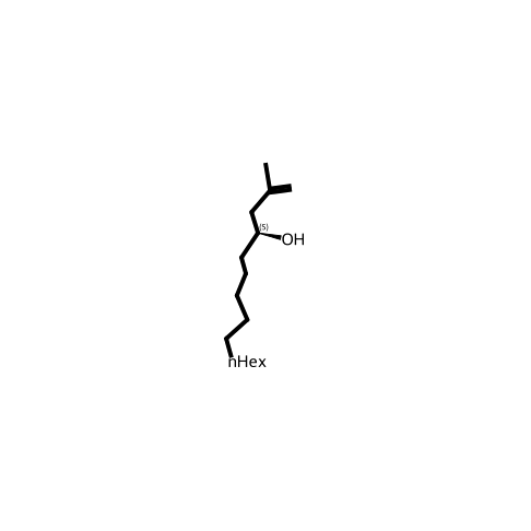 C=C(C)C[C@@H](O)CCCCCCCCCCC